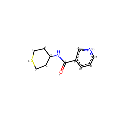 O=C(NC1CCSCC1)c1cc[c]nc1